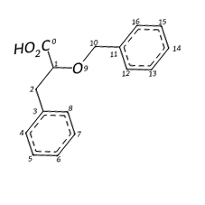 O=C(O)C(Cc1ccccc1)OCc1ccccc1